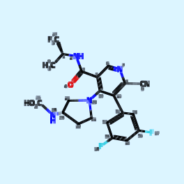 C[C@H](NC(=O)c1cnc(C#N)c(-c2cc(F)cc(F)c2)c1N1CC[C@H](NC(=O)O)C1)C(F)(F)F